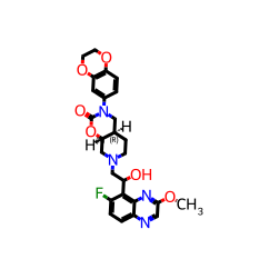 COc1cnc2ccc(F)c(C(O)CN3CC[C@@H]4CN(c5ccc6c(c5)OCCO6)C(=O)O[C@H]4C3)c2n1